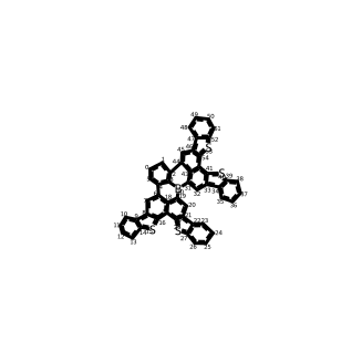 c1cc2c3c(c1)-c1cc4c5ccccc5sc4c4c1c(cc1c5ccccc5sc14)B3c1cc3c4ccccc4sc3c3c1c-2cc1c2ccccc2sc13